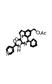 CC(=O)OCc1cc2c3c(c1)C(c1ccccc1)=NC(NC(=O)c1ccncc1)C(=O)N3CC2